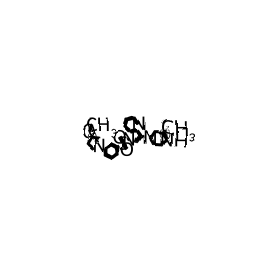 CO[C@@H]1CCN(c2cccc(S(=O)(=O)n3cc(N4CCN[C@@H](C)C4)c4ncccc43)c2)C1